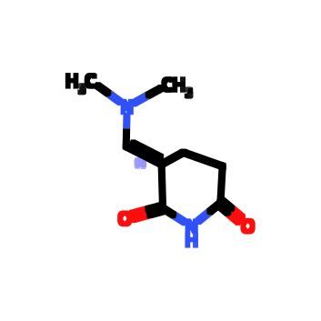 CN(C)/C=C1\CCC(=O)NC1=O